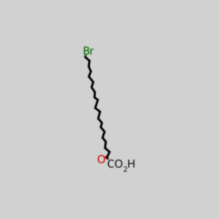 O=C(O)C(=O)CCCCCCCCCCCCCCCCCCCCBr